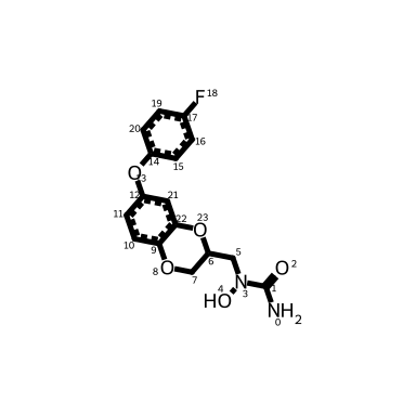 NC(=O)N(O)CC1COc2ccc(Oc3ccc(F)cc3)cc2O1